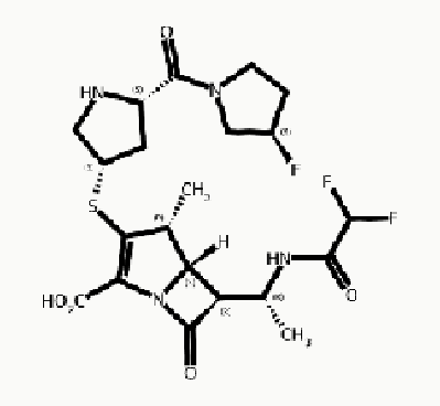 C[C@@H](NC(=O)C(F)F)[C@H]1C(=O)N2C(C(=O)O)=C(S[C@@H]3CN[C@H](C(=O)N4CC[C@@H](F)C4)C3)[C@H](C)[C@H]12